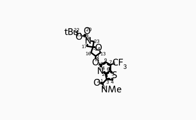 CNC(=O)c1csc2c(C(F)(F)F)cc(OC3COC4(C3)CN(C(=O)OC(C)(C)C)C4)nc12